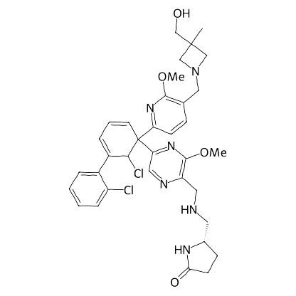 COc1nc(C2(c3cnc(CNC[C@@H]4CCC(=O)N4)c(OC)n3)C=CC=C(c3ccccc3Cl)C2Cl)ccc1CN1CC(C)(CO)C1